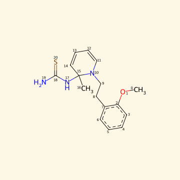 COc1ccccc1CCN1C=CC=CC1(C)NC(N)=S